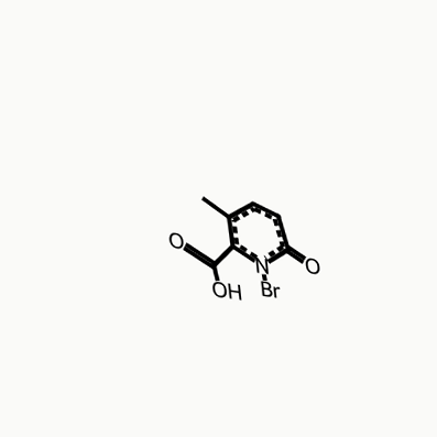 Cc1ccc(=O)n(Br)c1C(=O)O